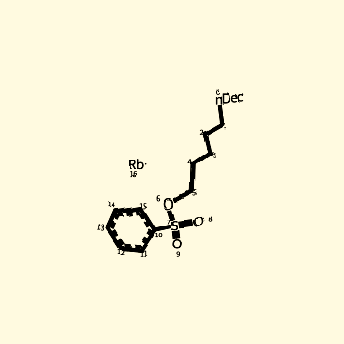 CCCCCCCCCCCCCCCOS(=O)(=O)c1ccccc1.[Rb]